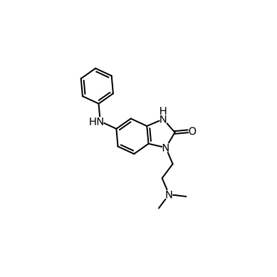 CN(C)CCn1c(=O)[nH]c2cc(Nc3ccccc3)ccc21